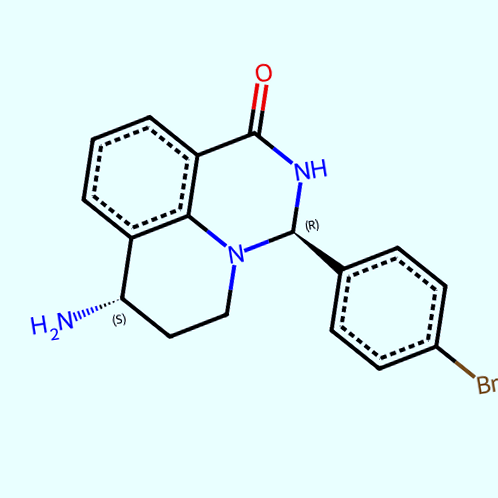 N[C@H]1CCN2c3c(cccc31)C(=O)N[C@H]2c1ccc(Br)cc1